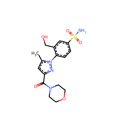 Cc1cc(C(=O)N2CCOCC2)nn1-c1ccc(S(N)(=O)=O)cc1CO